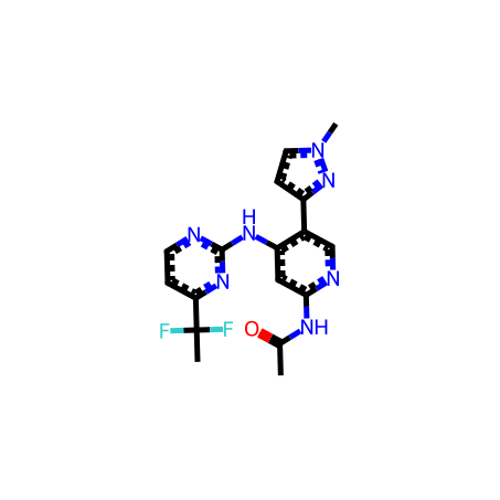 CC(=O)Nc1cc(Nc2nccc(C(C)(F)F)n2)c(-c2ccn(C)n2)cn1